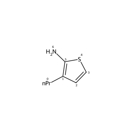 CCCc1ccsc1N